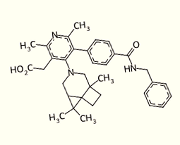 Cc1nc(C)c(-c2ccc(C(=O)NCc3ccccc3)cc2)c(N2CC3C(C)(C)C34CCC4(C)C2)c1CC(=O)O